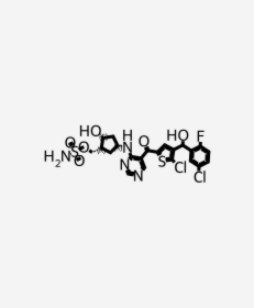 NS(=O)(=O)OC[C@H]1C[C@@H](Nc2ncncc2C(=O)c2cc(C(O)c3cc(Cl)ccc3F)c(Cl)s2)C[C@@H]1O